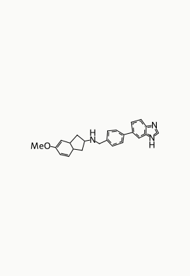 COC1=CC2CC(NCc3ccc(-c4ccc5nc[nH]c5c4)cc3)CC2C=C1